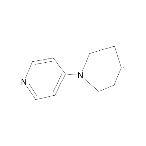 [CH]1CCN(c2ccncc2)CC1